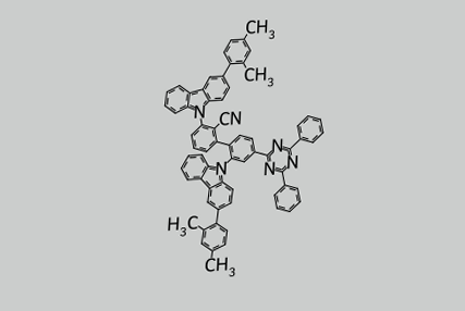 Cc1ccc(-c2ccc3c(c2)c2ccccc2n3-c2cc(-c3nc(-c4ccccc4)nc(-c4ccccc4)n3)ccc2-c2cccc(-n3c4ccccc4c4cc(-c5ccc(C)cc5C)ccc43)c2C#N)c(C)c1